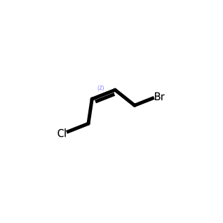 ClC/C=C\CBr